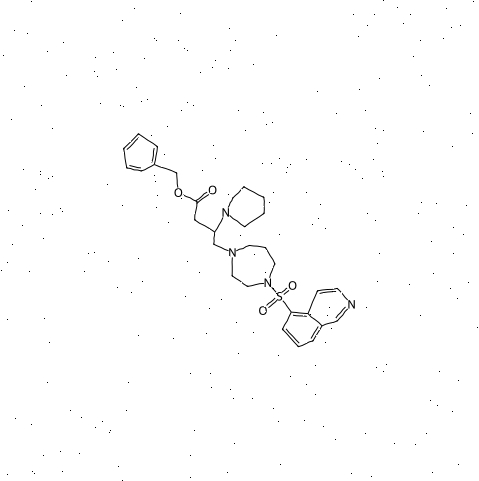 O=C(CC(CN1CCCN(S(=O)(=O)c2cccc3cnccc23)CC1)N1CCCCC1)OCc1ccccc1